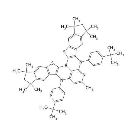 Cc1cc2c3c(n1)N(c1ccc(C(C)(C)C)cc1)c1c(sc4cc5c(cc14)C(C)(C)CC5(C)C)B3c1sc3cc4c(cc3c1N2c1ccc(C(C)(C)C)cc1)C(C)(C)CC4(C)C